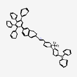 CCC1(CC)c2cc(/C=C/C3=Cc4ccc(-c5cc(-c6ccccc6)c(-c6ccccc6)c(-c6ccccc6)c5C5=CC=CCC5)cc4CC3)ccc2-c2ccc(N(c3ccccc3)c3ccccc3)cc21